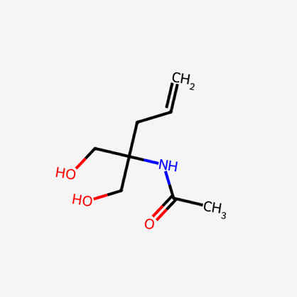 C=CCC(CO)(CO)NC(C)=O